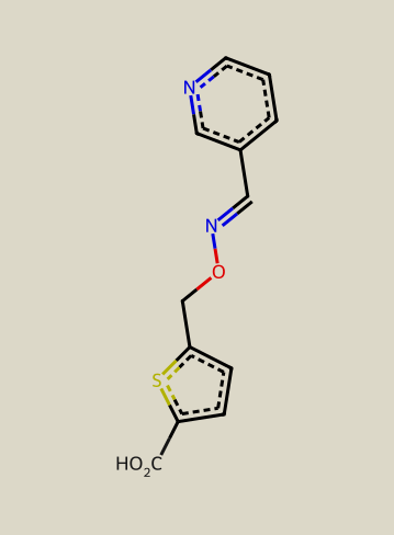 O=C(O)c1ccc(CON=Cc2cccnc2)s1